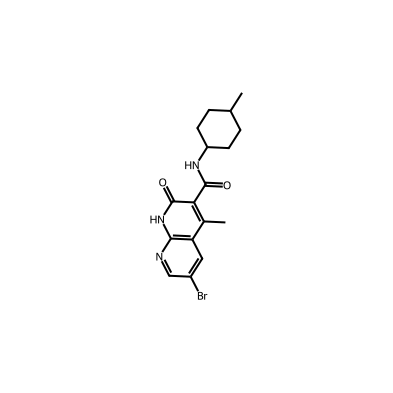 Cc1c(C(=O)NC2CCC(C)CC2)c(=O)[nH]c2ncc(Br)cc12